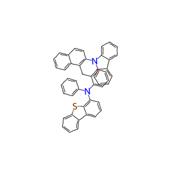 c1ccc(N(c2ccccc2Cc2c(-n3c4ccccc4c4ccccc43)ccc3ccccc23)c2cccc3c2sc2ccccc23)cc1